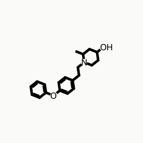 CC1CC(O)CCN1CCc1ccc(Oc2ccccc2)cc1